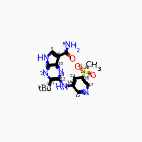 CC(C)(C)c1nc2[nH]cc(C(N)=O)c2nc1Nc1cncc(S(C)(=O)=O)c1